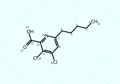 CCCCCc1cc(Cl)c(Cl)c(C(=O)O)n1